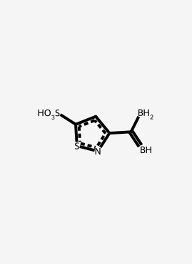 B=C(B)c1cc(S(=O)(=O)O)sn1